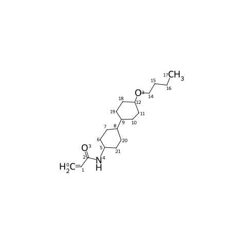 C=CC(=O)NC1CCC(C2CCC(OCCCC)CC2)CC1